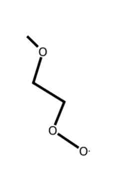 COCCO[O]